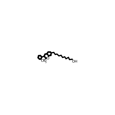 O=c1oc2cc(CCCCCCCCCCCO)ccc2cc1-c1ccccc1C(F)(F)F